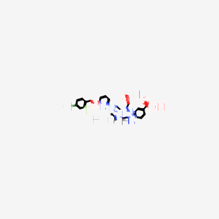 COCCn1c(CN2CCN(c3cccc(OCc4ccc(Cl)cc4F)n3)CC2(C)C)nc2ccc(C(=O)O)cc21